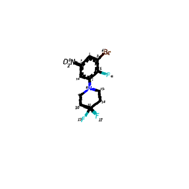 O=[N+]([O-])c1cc(Br)c(F)c(N2CCC(F)(F)CC2)c1